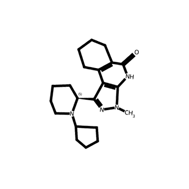 Cn1nc([C@@H]2CCCCN2C2CCCC2)c2c3c(c(=O)[nH]c21)CCCC3